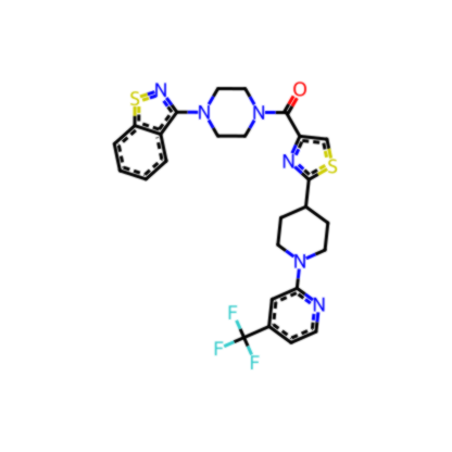 O=C(c1csc(C2CCN(c3cc(C(F)(F)F)ccn3)CC2)n1)N1CCN(c2nsc3ccccc23)CC1